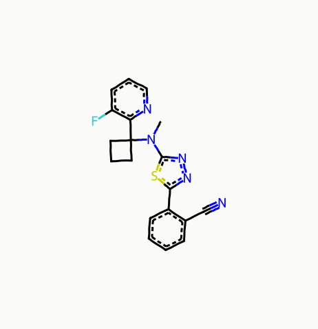 CN(c1nnc(-c2ccccc2C#N)s1)C1(c2ncccc2F)CCC1